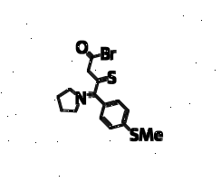 CSc1ccc(C(C(=S)CC(=O)Br)=[N+]2CCCC2)cc1